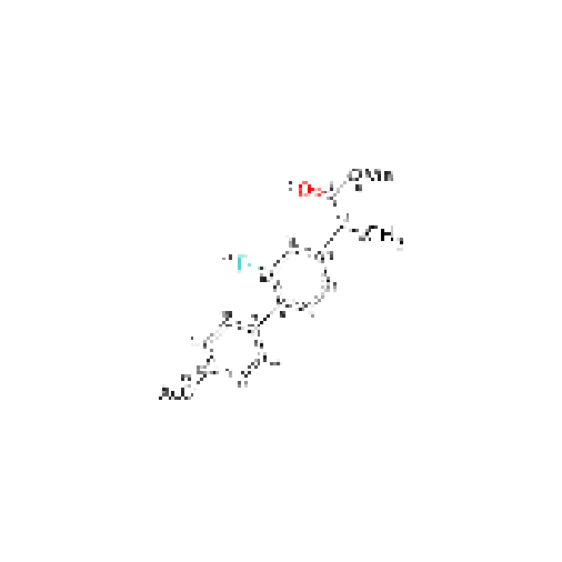 COC(=O)C(C)c1ccc(-c2ccc(OC(C)=O)cc2)c(F)c1